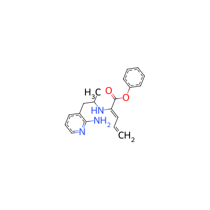 C=C/C=C(\NC(C)Cc1cccnc1N)C(=O)Oc1ccccc1